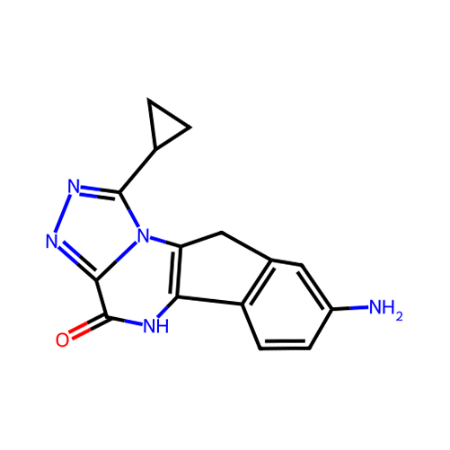 Nc1ccc2c(c1)Cc1c-2[nH]c(=O)c2nnc(C3CC3)n12